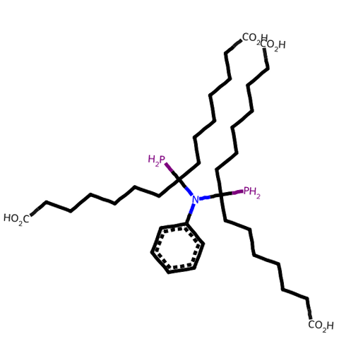 O=C(O)CCCCCCC(P)(CCCCCCC(=O)O)N(c1ccccc1)C(P)(CCCCCCC(=O)O)CCCCCCC(=O)O